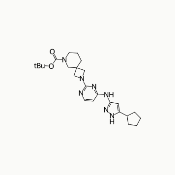 CC(C)(C)OC(=O)N1CCCC2(C1)CN(c1nccc(Nc3cc(C4CCCC4)[nH]n3)n1)C2